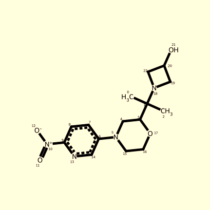 CC(C)(C1CN(c2ccc([N+](=O)[O-])nc2)CCO1)N1CC(O)C1